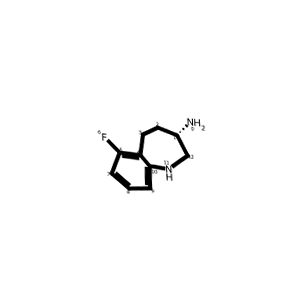 N[C@H]1CCc2c(F)cccc2NC1